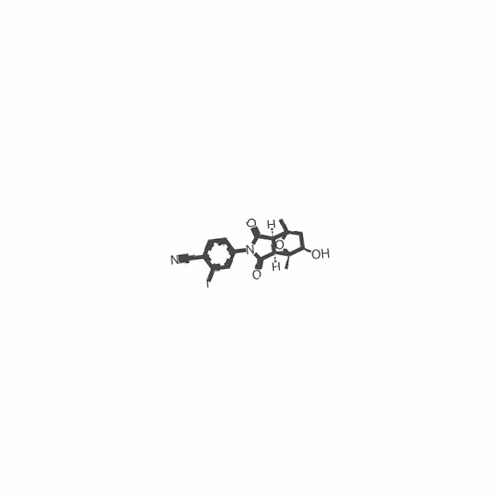 CC12C[C@@H](O)[C@@](C)(O1)[C@H]1C(=O)N(c3ccc(C#N)c(I)c3)C(=O)[C@H]12